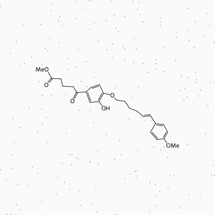 COC(=O)CCCC(=O)c1ccc(OCCCCC=Cc2ccc(OC)cc2)c(O)c1